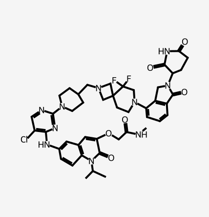 CNC(=O)COc1cc2cc(Nc3nc(N4CCC(CN5CC6(CCN(c7cccc8c7CN(C7CCC(=O)NC7=O)C8=O)CC6(F)F)C5)CC4)ncc3Cl)ccc2n(C(C)C)c1=O